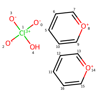 [O-][Cl+3]([O-])([O-])O.c1cc[o+]cc1.c1cc[o+]cc1